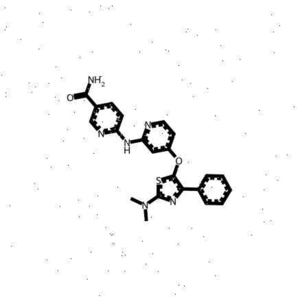 CN(C)c1nc(-c2ccccc2)c(Oc2ccnc(Nc3ccc(C(N)=O)cn3)c2)s1